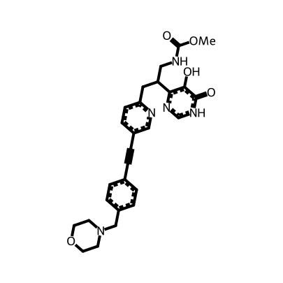 COC(=O)NCC(Cc1ccc(C#Cc2ccc(CN3CCOCC3)cc2)cn1)c1nc[nH]c(=O)c1O